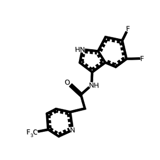 O=C(Cc1ccc(C(F)(F)F)cn1)Nc1c[nH]c2cc(F)c(F)cc12